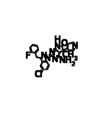 CC1(c2ccncc2)C(=O)Nc2nc(-n3nc(Cc4ccccc4F)c4cc(Cl)ccc43)nc(N)c21